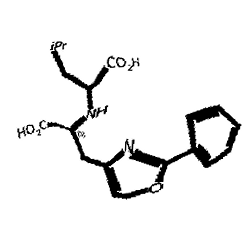 CC(C)CC(N[C@@H](Cc1coc(-c2ccccc2)n1)C(=O)O)C(=O)O